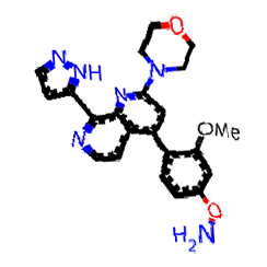 COc1cc(ON)ccc1-c1cc(N2CCOCC2)nc2c(-c3ccn[nH]3)nccc12